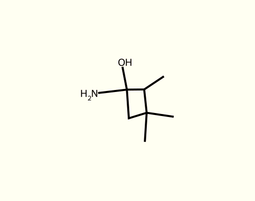 CC1C(C)(C)CC1(N)O